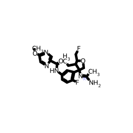 CCC1C(CF)OCC1(/N=C(\C)N)c1cc(NC(=O)c2cnc(OC)cn2)ccc1F